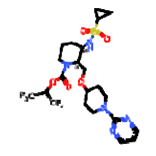 O=C(OC(C(F)(F)F)C(F)(F)F)N1CCC[C@@H](NS(=O)(=O)C2CC2)[C@H]1COC1CCN(c2ncccn2)CC1